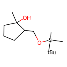 CC1(O)CCCC1CO[Si](C)(C)C(C)(C)C